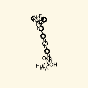 CC[C@@H]([C@H](C)O)n1ncn(-c2ccc(N3CCN(c4ccc(-c5ccc(C(F)(F)C(O)(Cn6cccn6)c6ccccc6F)nc5)cc4)CC3)cc2)c1=O